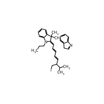 C1=Nc2ccccc2C1.CCCN1C(=CC=CC=CC(CI)C(C)C)C(C)(C)c2ccccc21